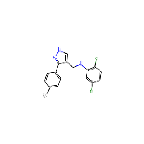 FC(F)(F)c1ccc(-c2n[nH]cc2CNc2cc(Cl)ccc2Cl)cc1